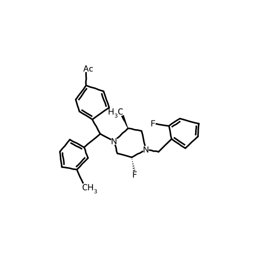 CC(=O)c1ccc(C(c2cccc(C)c2)N2C[C@@H](F)N(Cc3ccccc3F)C[C@@H]2C)cc1